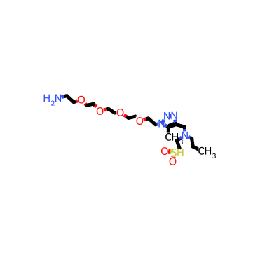 CCCN(CC[SH](=O)=O)Cc1nnn(CCOCCOCCOCCOCCN)c1C